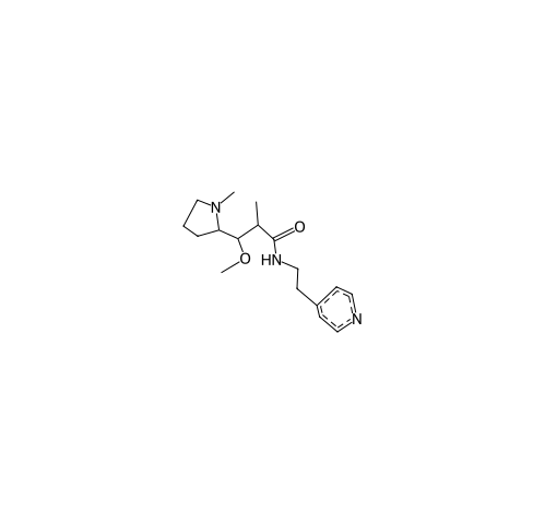 COC(C(C)C(=O)NCCc1ccncc1)C1CCCN1C